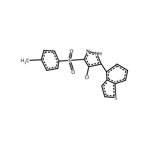 Cc1ccc(S(=O)(=O)c2n[nH]c(-c3cccc4sccc34)c2Cl)cc1